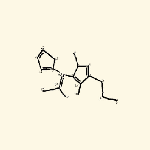 CCCC1=CC(C)[C]([Zr]([C]2=CC=CC2)=[C](C)C)=C1C